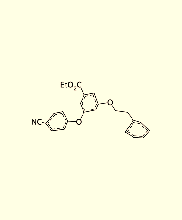 CCOC(=O)c1cc(OCCc2ccccc2)cc(Oc2ccc(C#N)cc2)c1